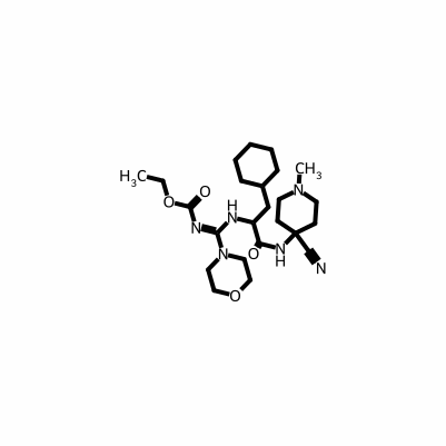 CCOC(=O)/N=C(\NC(CC1CCCCC1)C(=O)NC1(C#N)CCN(C)CC1)N1CCOCC1